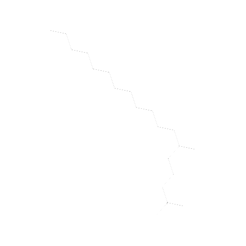 CCCCCCCCCCCCC(C)CCC[C](C)C